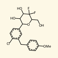 COc1ccc(Cc2cc(C3OC(CO)C(F)(F)C(O)C3O)ccc2Cl)cc1